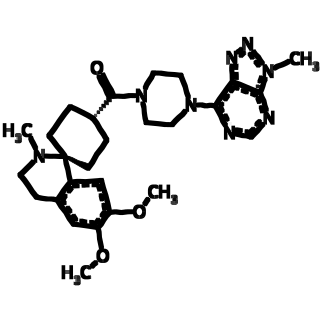 COc1cc2c(cc1OC)[C@]1(CC[C@@H](C(=O)N3CCN(c4ncnc5c4nnn5C)CC3)CC1)N(C)CC2